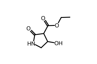 CCOC(=O)C1C(=O)NCC1O